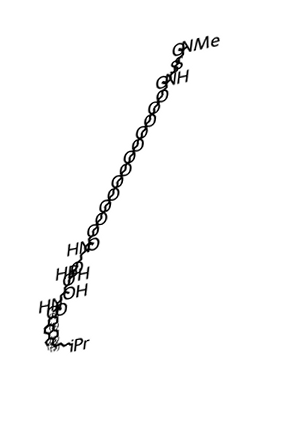 CNC(=O)CCSSCCNC(=O)CCOCCOCCOCCOCCOCCOCCOCCOCCOCCOCCOCCOCCC(=O)NCCCCOPPOCCC(O)CCNC(=O)O[C@@H]1CC[C@]2(C)C(=CCC3C2CC[C@]2(C)C3CC[C@H]2[C@@H](C)CCCC(C)C)C1